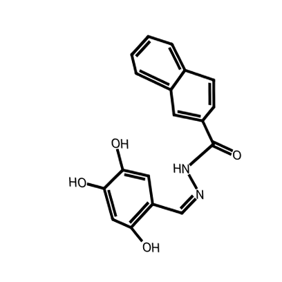 O=C(N/N=C\c1cc(O)c(O)cc1O)c1ccc2ccccc2c1